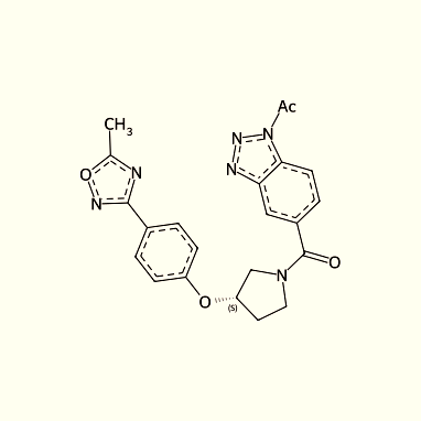 CC(=O)n1nnc2cc(C(=O)N3CC[C@H](Oc4ccc(-c5noc(C)n5)cc4)C3)ccc21